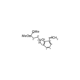 C=Cc1ccccc1O[SiH2]CCC(OC)OC